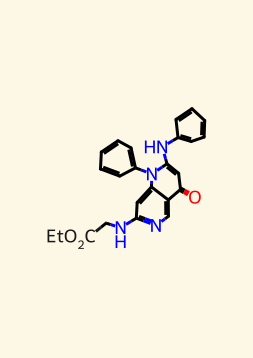 CCOC(=O)CNc1cc2c(cn1)c(=O)cc(Nc1ccccc1)n2-c1ccccc1